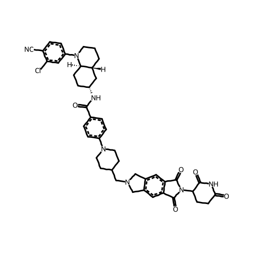 N#Cc1ccc(N2CCC[C@@H]3C[C@H](NC(=O)c4ccc(N5CCC(CN6Cc7cc8c(cc7C6)C(=O)N(C6CCC(=O)NC6=O)C8=O)CC5)cc4)CC[C@H]32)cc1Cl